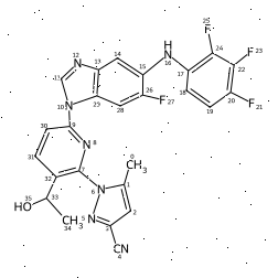 Cc1cc(C#N)nn1-c1nc(-n2cnc3cc(Nc4ccc(F)c(F)c4F)c(F)cc32)ccc1C(C)O